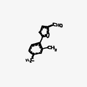 Cc1ccc(-c2ccc(C=O)o2)c(C)c1